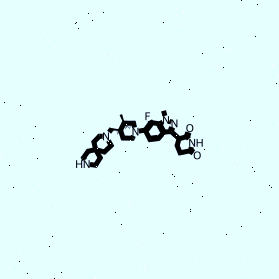 C[C@H]1CN(c2ccc3c(C4CCC(=O)NC4=O)nn(C)c3c2F)CC[C@H]1CN1CCC2(CCNCC2)CC1